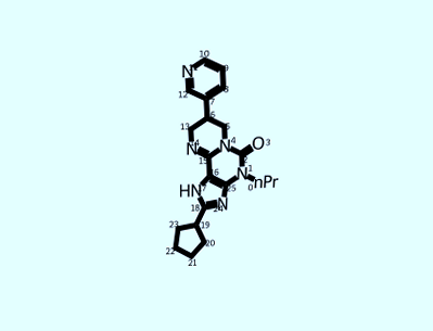 CCCN1C(=O)N2CC(c3cccnc3)CN=C2c2[nH]c(C3CCCC3)nc21